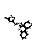 Cc1cc(CNc2nc3ccncc3c3cnccc23)no1